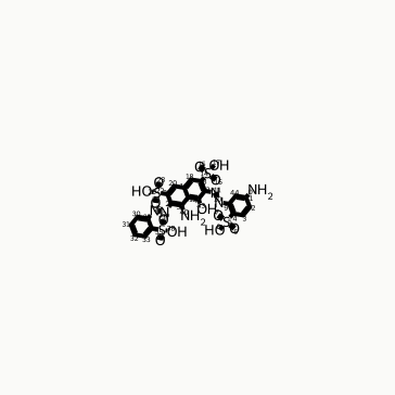 Nc1ccc(S(=O)(=O)O)c(N=Nc2c(S(=O)(=O)O)cc3cc(S(=O)(=O)O)c(N=Nc4ccccc4S(=O)(=O)O)c(N)c3c2O)c1